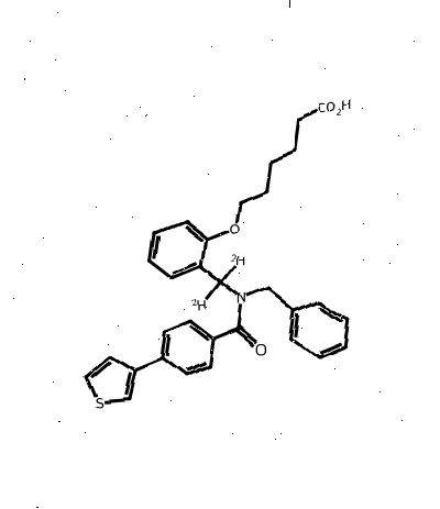 [2H]C([2H])(c1ccccc1OCCCCCC(=O)O)N(Cc1ccccc1)C(=O)c1ccc(-c2ccsc2)cc1